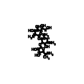 C[C@H](N)[C@H]1O[C@@H](OC2C(O)[C@H](N)CC(N)[C@H]2O[C@H]2OC([C@H](O)CO)[C@@H](O)C(O)C2N)C(O)C1O